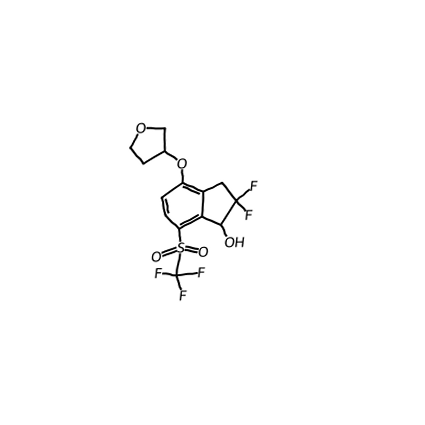 O=S(=O)(c1ccc(OC2CCOC2)c2c1C(O)C(F)(F)C2)C(F)(F)F